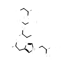 CC(C)C[C@H](N)C(=O)O.NCC(=O)O.N[C@@H](CO)C(=O)O.N[C@@H](CS)C(=O)O.N[C@@H](Cc1c[nH]cn1)C(=O)O